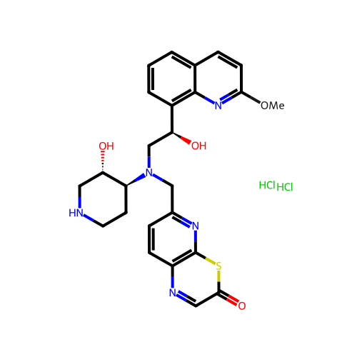 COc1ccc2cccc([C@@H](O)CN(Cc3ccc4ncc(=O)sc4n3)[C@H]3CCNC[C@@H]3O)c2n1.Cl.Cl